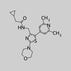 Cc1cc(-c2sc(N3CCOCC3)nc2CNC(=O)CC2CC2)cc(C)n1